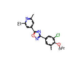 CCCOc1c(C)cc(-c2noc(-c3cc(C)nc(CC)c3)n2)cc1Cl